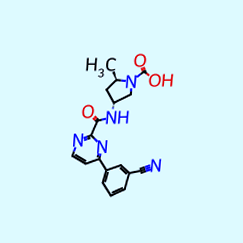 C[C@@H]1C[C@@H](NC(=O)c2nccc(-c3cccc(C#N)c3)n2)CN1C(=O)O